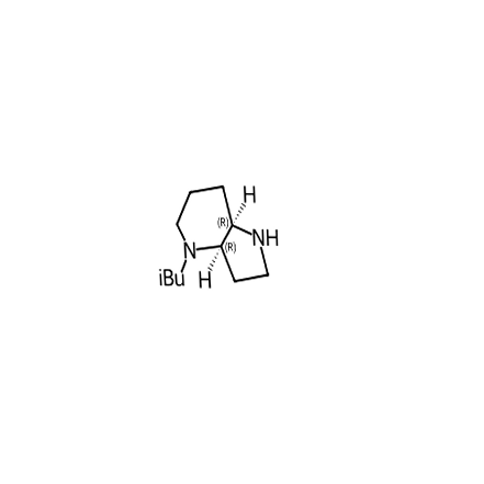 CCC(C)N1CCC[C@H]2NCC[C@H]21